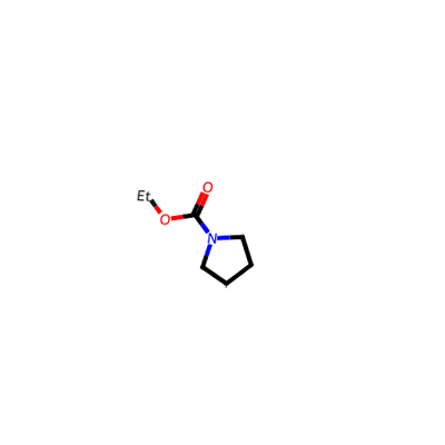 CCOC(=O)N1C[CH]CC1